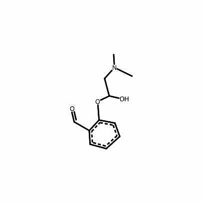 CN(C)CC(O)Oc1ccccc1C=O